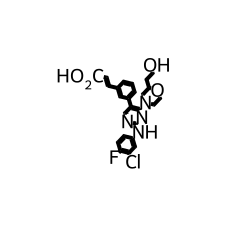 O=C(O)C=Cc1cccc(-c2cnc(Nc3ccc(F)c(Cl)c3)nc2N2CCOC(CCO)C2)c1